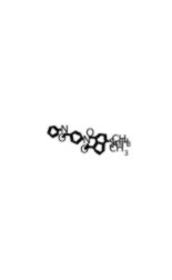 [CH3][SnH]([CH3])[c]1ccc2c3c(cccc13)C(=O)N(c1ccc(-c3nc4ccccc4o3)cc1)C2=O